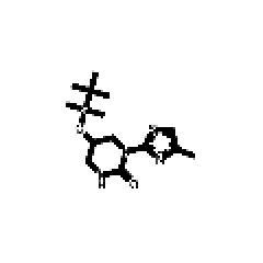 Cc1csc(N2CC(O[Si](C)(C)C(C)(C)C)CNC2=O)n1